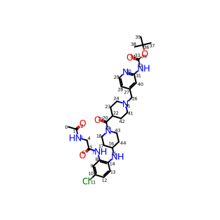 CC(=O)NCC(=O)Nc1cc(Cl)ccc1NC1CCN(C(=O)C2CCN(Cc3ccnc(NC(=O)OC(C)(C)C)c3)CC2)CC1